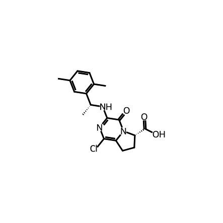 Cc1ccc(C)c([C@@H](C)Nc2nc(Cl)c3n(c2=O)[C@H](C(=O)O)CC3)c1